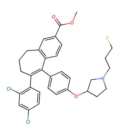 COC(=O)c1ccc2c(c1)CCCC(c1ccc(Cl)cc1Cl)=C2c1ccc(OC2CCN(CCCF)C2)cc1